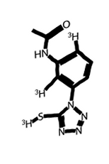 [3H]Sc1nnnn1-c1ccc([3H])c(NC(C)=O)c1[3H]